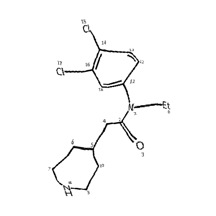 CCN(C(=O)CC1CCNCC1)c1ccc(Cl)c(Cl)c1